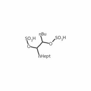 CCCCCCCC(OS(=O)(=O)O)C(CCCC)OS(=O)(=O)O